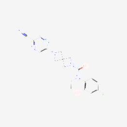 N#Cc1cnc(N2CC3(CN(C(=O)N4CCOc5cc(Cl)ccc54)C3)C2)cn1